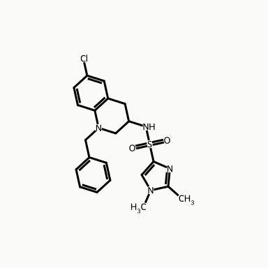 Cc1nc(S(=O)(=O)NC2Cc3cc(Cl)ccc3N(Cc3ccccc3)C2)cn1C